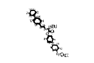 CCCCCCCC[C@H]1CC[C@H](c2ccc(OC(=O)C(CCCC)CCCc3ccc(-c4ccccc4)cc3)cc2)CC1